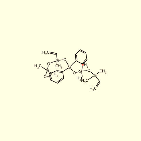 C=C[Si](C)(C)O[Si](C)(C)O[Si](O[Si](C)(C=C)O[Si](C)(C)O)(c1ccccc1)c1ccccc1